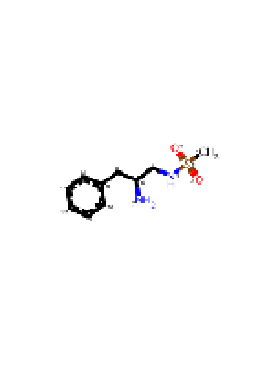 CS(=O)(=O)NCC(N)Cc1ccccc1